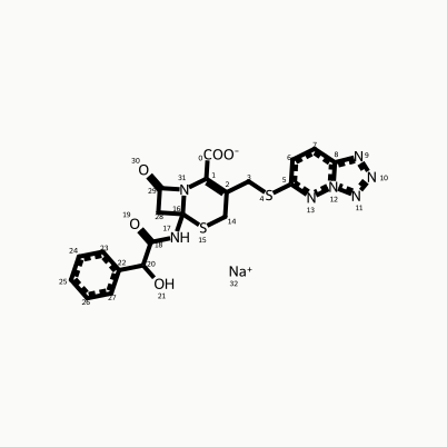 O=C([O-])C1=C(CSc2ccc3nnnn3n2)CSC2(NC(=O)C(O)c3ccccc3)CC(=O)N12.[Na+]